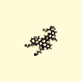 CCc1cccc(CC)c1Nc1ccc2c(-c3ccccc3C(=O)OCCCBr)c3cc/c(=N\c4c(C(C)C)cccc4C(C)C)cc-3oc2c1